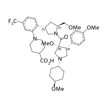 COC[C@@H]1C[C@@H](c2ccc(C(F)(F)F)cc2N2CCC(C(=O)O)CC2)CN1C(=O)[C@]1(OC)CN([C@H]2CC[C@H](OC)CC2)C[C@H]1c1ccc(OC)cc1